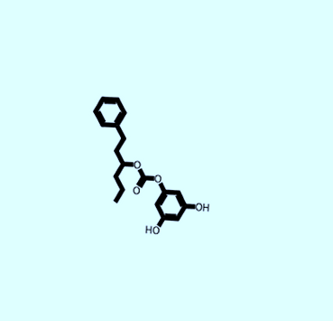 CCCC(CCc1ccccc1)OC(=O)Oc1cc(O)cc(O)c1